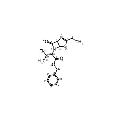 CCC1=NC2C(=O)N(/C(C(=O)OCc3ccccc3)=C(/C)Cl)C2S1